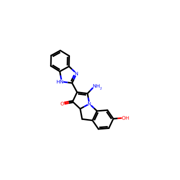 NC1=C(c2nc3ccccc3[nH]2)C(=O)C2Cc3ccc(O)cc3N12